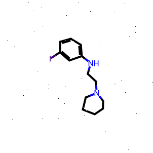 Ic1cccc(NCCN2CCCCC2)c1